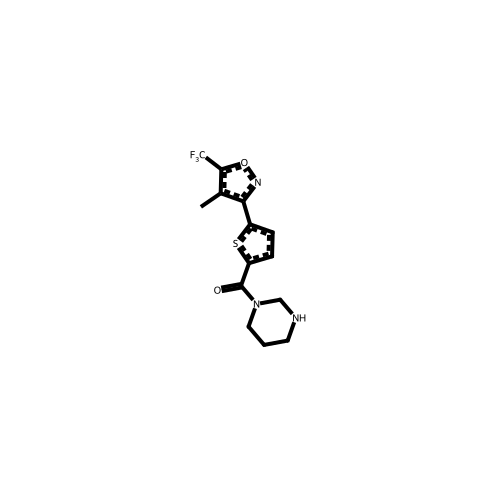 Cc1c(-c2ccc(C(=O)N3CCCNC3)s2)noc1C(F)(F)F